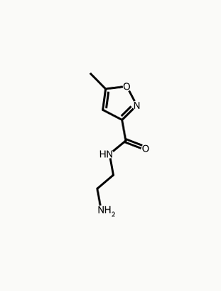 Cc1cc(C(=O)NCCN)no1